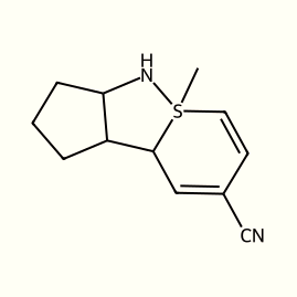 CS12C=CC(C#N)=CC1C1CCCC1N2